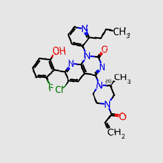 C=CC(=O)N1CCN(c2nc(=O)n(-c3cccnc3CCC)c3nc(-c4c(O)cccc4F)c(Cl)cc23)[C@@H](C)C1